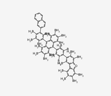 Bc1c(B)c(-c2ccc3ccccc3c2)c(B)c(-c2c3c(B)c(B)c(B)c(B)c3c(-c3c(B)c(B)c(-c4c(B)c(B)c5oc6c(B)c(B)c(B)c(B)c6c5c4B)c(B)c3B)c3c(B)c(B)c(B)c(B)c23)c1B